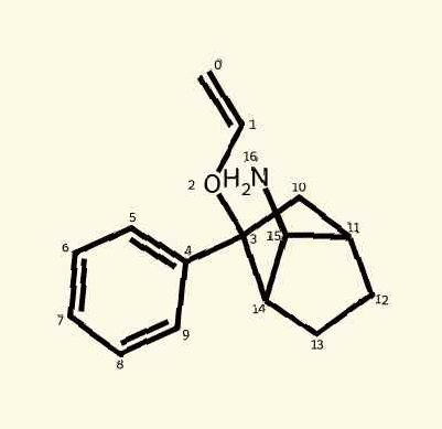 C=COC1(c2ccccc2)CC2CCC1C2N